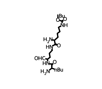 CCCCC(N)C(=O)NC(C=O)CCCNC(=O)C(N)CCCCNC(=O)OC(C)(C)C